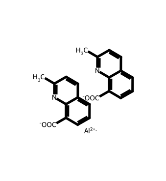 Cc1ccc2cccc(C(=O)[O-])c2n1.Cc1ccc2cccc(C(=O)[O-])c2n1.[Al+2]